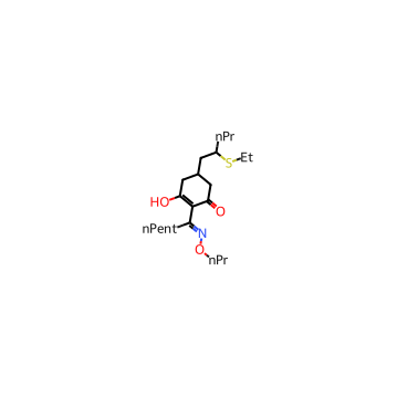 CCCCCC(=NOCCC)C1=C(O)CC(CC(CCC)SCC)CC1=O